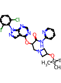 CC(C)(C)[Si](C)(C)OC1CN(CC(Oc2ncnc3c2cnn3-c2c(Cl)cccc2Cl)C(=O)Nc2ccccn2)C1